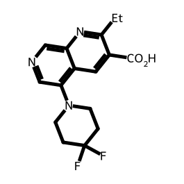 CCc1nc2cncc(N3CCC(F)(F)CC3)c2cc1C(=O)O